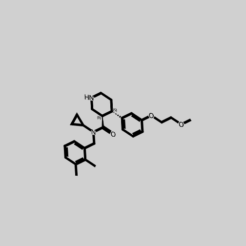 COCCOc1cccc([C@H]2CCNC[C@@H]2C(=O)N(Cc2cccc(C)c2C)C2CC2)c1